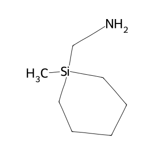 C[Si]1(CN)CCCCC1